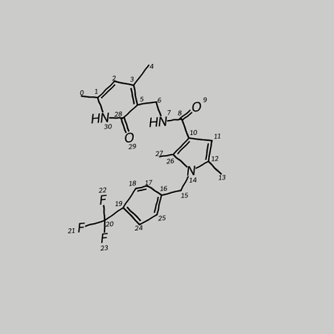 Cc1cc(C)c(CNC(=O)c2cc(C)n(Cc3ccc(C(F)(F)F)cc3)c2C)c(=O)[nH]1